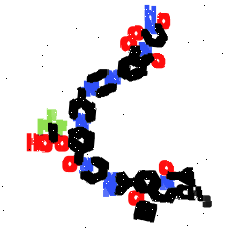 C[C@H]1CCc2c(ccc(-c3cnn(C4CCN(C(=O)c5ccc(N6CCC(CN7CCN(c8ccc9c(c8)C(=O)N(C8CCC(=O)NC8=O)C9=O)CC7)CC6)cc5)CC4)c3)c2OC2CCC2)N1C(=O)C1CC1.O=C(O)C(F)(F)F